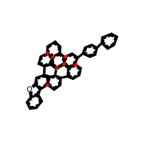 c1ccc(-c2ccc(-c3ccc(N(c4ccccc4-c4ccc5c(c4)oc4ccccc45)c4ccccc4-c4ccccc4-c4ccc5ccccc5c4)cc3)cc2)cc1